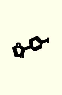 Ic1ccc(-c2ncco2)cc1